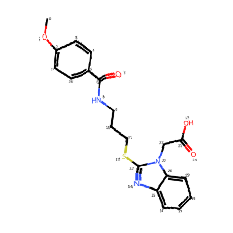 COc1ccc(C(=O)NCCCSc2nc3ccccc3n2CC(=O)O)cc1